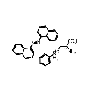 N[C@@H](CO)C(=O)O.Nc1ccccc1.c1ccc2c(N=Nc3cccc4ccccc34)cccc2c1